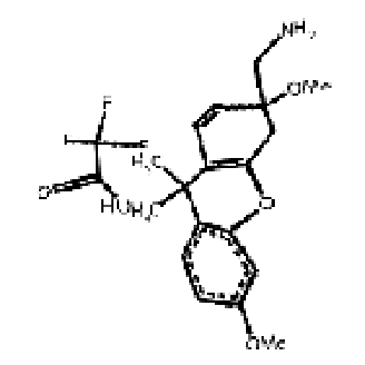 COc1ccc2c(c1)OC1=C(C=CC(CN)(OC)C1)C2(C)C.O=C(O)C(F)(F)F